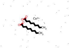 CCCCCCCCC(=O)[O-].CCCCCCCCC(=O)[O-].[Co+2]